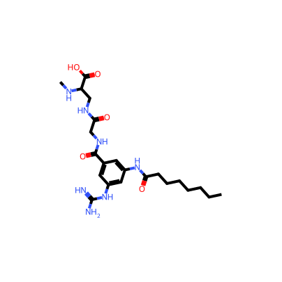 CCCCCCCC(=O)Nc1cc(NC(=N)N)cc(C(=O)NCC(=O)NCC(NC)C(=O)O)c1